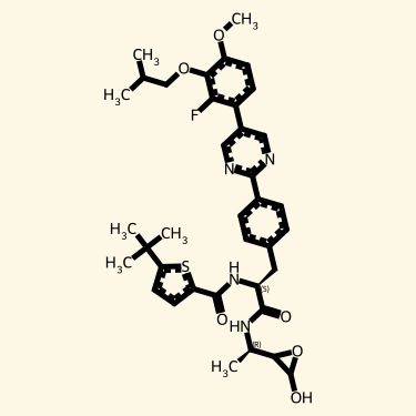 COc1ccc(-c2cnc(-c3ccc(C[C@H](NC(=O)c4ccc(C(C)(C)C)s4)C(=O)N[C@H](C)C4OC4O)cc3)nc2)c(F)c1OCC(C)C